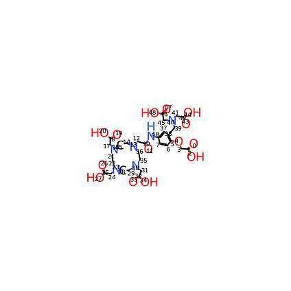 O=C(O)COc1ccc(NC(=O)CN2CCN(CC(=O)O)CCN(CC(=O)O)CCN(CC(=O)O)CC2)cc1CN(CC(=O)O)CC(=O)O